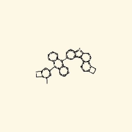 Cc1cc(-c2c3ccccc3c(-c3ccc4sc5ccc6c7c(ccc6c5c4c3)CC7)c3ccccc23)cc2c1CC2